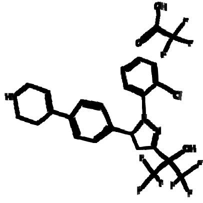 O=C(O)C(F)(F)F.OC(C1=NN(c2ccccc2Cl)C(c2ccc(C3=CCNCC3)cc2)C1)(C(F)(F)F)C(F)(F)F